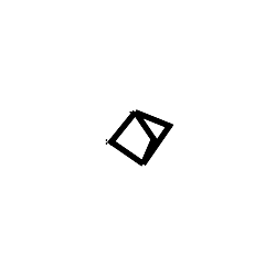 [C]1[C]2CC1C2